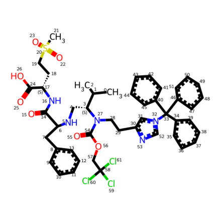 CC(C)[C@@H](CNC(Cc1ccccc1)C(=O)N[C@@H](CCS(C)(=O)=O)C(=O)O)N(CCc1cn(C(c2ccccc2)(c2ccccc2)c2ccccc2)cn1)C(=O)OCC(Cl)(Cl)Cl